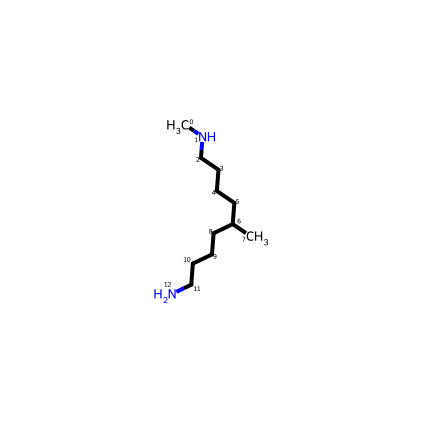 CNCCCCC(C)CCCCN